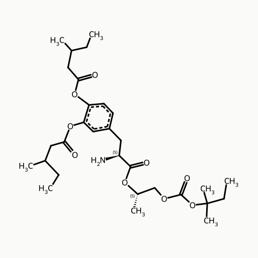 CCC(C)CC(=O)Oc1ccc(C[C@H](N)C(=O)O[C@@H](C)COC(=O)OC(C)(C)CC)cc1OC(=O)CC(C)CC